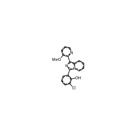 COc1cccnc1-c1nc(-c2cccc(Cl)c2O)n2ccccc12